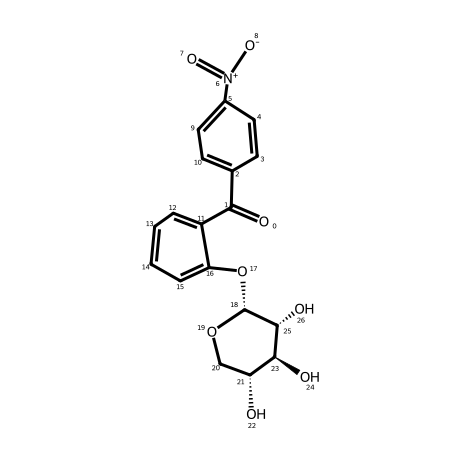 O=C(c1ccc([N+](=O)[O-])cc1)c1ccccc1O[C@H]1OC[C@@H](O)[C@H](O)[C@H]1O